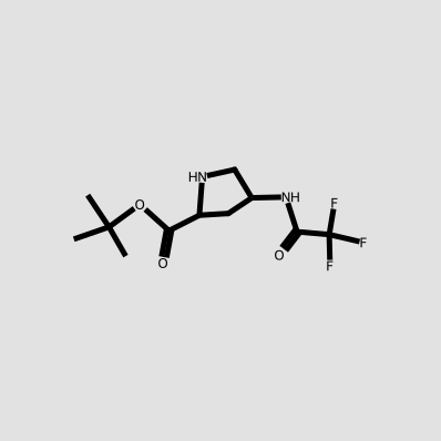 CC(C)(C)OC(=O)C1CC(NC(=O)C(F)(F)F)CN1